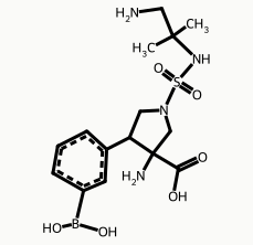 CC(C)(CN)NS(=O)(=O)N1CC(c2cccc(B(O)O)c2)C(N)(C(=O)O)C1